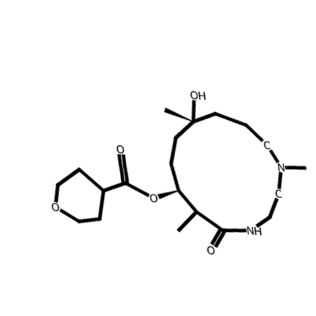 CC1C(=O)NCCN(C)CCC[C@@](C)(O)CC[C@@H]1OC(=O)C1CCOCC1